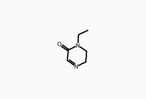 CCN1CCN=CC1=O